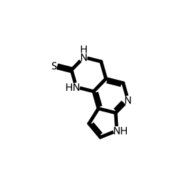 S=C1NCc2cnc3[nH]ccc3c2N1